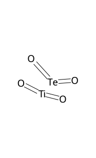 O=[Te]=O.[O]=[Ti]=[O]